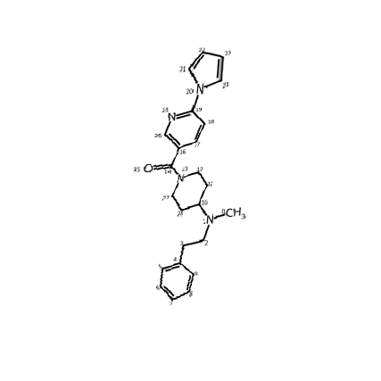 CN(CCc1ccccc1)C1CCN(C(=O)c2ccc(-n3cccc3)nc2)CC1